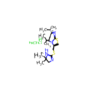 CC(C)[C@@H]1N=C2SC=C(CSC3=NCC(C)(C)N3)N2[C@H]1C(C)C.Cl.Cl